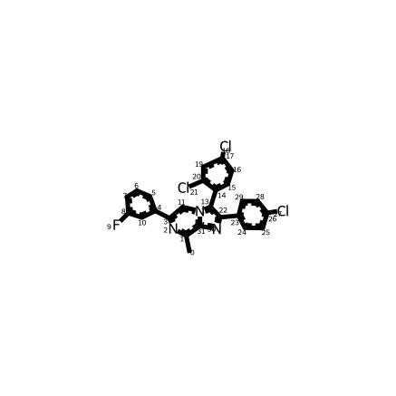 Cc1nc(-c2cccc(F)c2)cn2c(-c3ccc(Cl)cc3Cl)c(-c3ccc(Cl)cc3)nc12